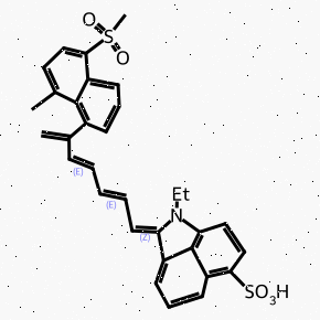 C=C(/C=C/C=C/C=c1/c2cccc3c(S(=O)(=O)O)ccc(c32)n1CC)c1cccc2c(S(C)(=O)=O)ccc(C)c12